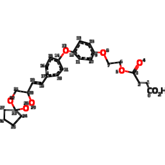 O=C(O)CCC(=O)OCCOc1ccc(Oc2ccc(C=CC3COC4(CCCC4)OO3)cc2)cc1